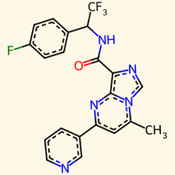 Cc1cc(-c2cccnc2)nc2c(C(=O)NC(c3ccc(F)cc3)C(F)(F)F)ncn12